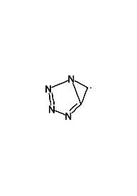 [CH]1c2nnnn21